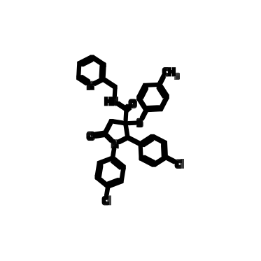 Cc1ccc(SC2(C(=O)NCc3ccccn3)CC(=O)N(c3ccc(Cl)cc3)C2c2ccc(Cl)cc2)cc1